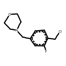 Fc1cc(CN2CCOCC2)ccc1CCl